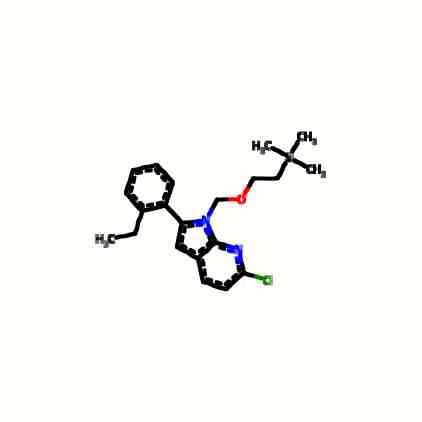 CCc1ccccc1-c1cc2ccc(Cl)nc2n1COCC[Si](C)(C)C